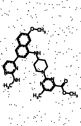 CNc1nccc(-c2cc(NC3CCN(c4nc(C)cc(C(=O)OC)n4)CC3)c3cc(OC)ccc3c2)n1